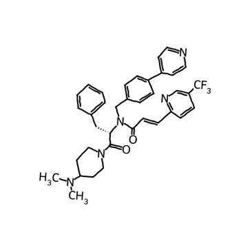 CN(C)C1CCN(C(=O)[C@H](Cc2ccccc2)N(Cc2ccc(-c3ccncc3)cc2)C(=O)C=Cc2ccc(C(F)(F)F)cn2)CC1